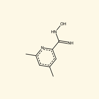 Cc1cc(C)nc(C(=N)NO)c1